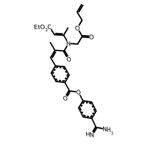 C=CCOC(=O)CN(C(=O)C(C)=Cc1ccc(C(=O)Oc2ccc(C(=N)N)cc2)cc1)C(C)=CC(=O)OCC